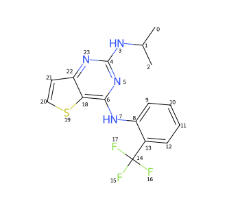 CC(C)Nc1nc(Nc2ccccc2C(F)(F)F)c2sccc2n1